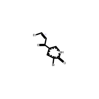 CC/C=C\C(=O)c1c[nH]c(=O)c(Br)c1